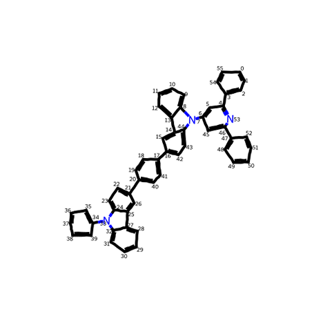 c1ccc(-c2cc(-n3c4ccccc4c4cc(-c5ccc(-c6ccc7c(c6)c6ccccc6n7-c6ccccc6)cc5)ccc43)cc(-c3ccccc3)n2)cc1